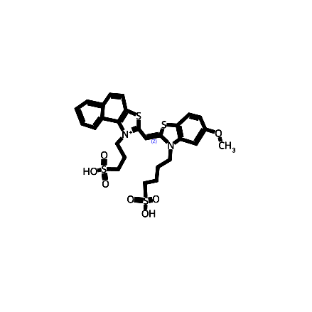 COc1ccc2c(c1)N(CCCCS(=O)(=O)O)/C(=C/c1sc3ccc4ccccc4c3[n+]1CCCS(=O)(=O)O)S2